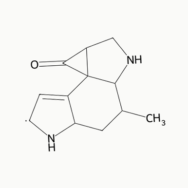 CC1CC2N[CH]C=C2C23C(=O)C2CNC13